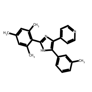 Cc1cccc(-c2[nH]c(-c3c(C)cc(C)cc3C)nc2-c2ccncc2)c1